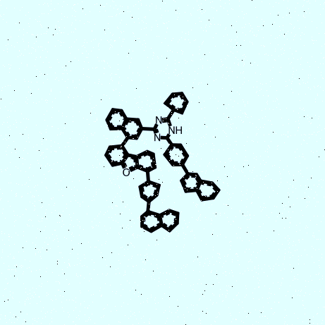 c1ccc(C2=NC(c3cc(-c4cccc5oc6c(-c7ccc(-c8cccc9ccccc89)cc7)cccc6c45)c4ccccc4c3)=NC(c3ccc(-c4ccc5ccccc5c4)cc3)N2)cc1